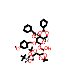 COc1ccc(CO[C@@H]2[C@H](OC(O)[C@@H]3OC(C)(C)O[C@H]3[C@H]3OC(C)(C)O[C@@H]3CO[Si](C)(C)C(C)(C)C)O[C@@H]3COC(c4ccccc4)O[C@H]3[C@@H]2OCc2ccccc2)cc1